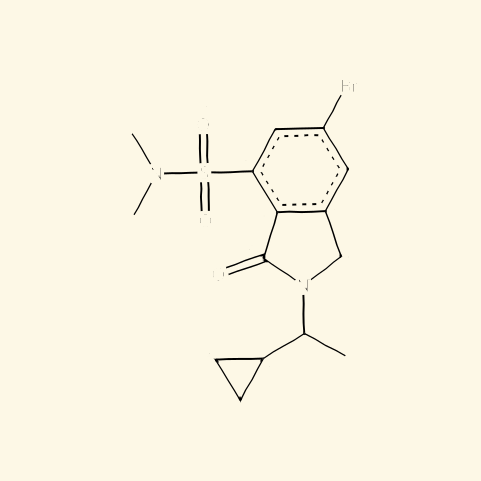 CC(C1CC1)N1Cc2cc(Br)cc(S(=O)(=O)N(C)C)c2C1=O